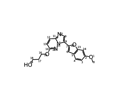 COc1ccc2cc(-c3cnc4ccc(OCCCO)nn34)oc2c1